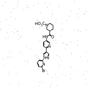 O=C(Nc1ccc(-c2cnn(-c3cccc(Br)n3)c2)nc1)C1CCCN(C(=O)O)C1